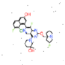 C[C@@]1(O)CCCN(c2nc(OC[C@@]34CCCN3C[C@H](F)C4)nc3c(F)c(-c4cc(O)cc5ccc(F)c(Cl)c45)ncc23)C1